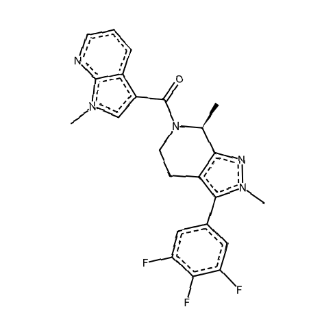 C[C@H]1c2nn(C)c(-c3cc(F)c(F)c(F)c3)c2CCN1C(=O)c1cn(C)c2ncccc12